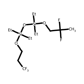 CC[Si](CC)(OCCC(F)(F)F)O[Si](CC)(CC)OCC(C)(F)F